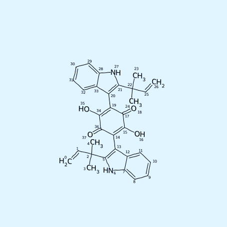 C=CC(C)(C)c1[nH]c2ccccc2c1C1=C(O)C(=O)C(c2c(C(C)(C)C=C)[nH]c3ccccc23)=C(O)C1=O